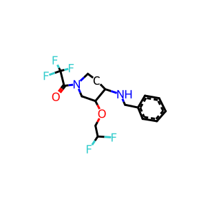 O=C(N1CCC(NCc2ccccc2)C(OCC(F)F)C1)C(F)(F)F